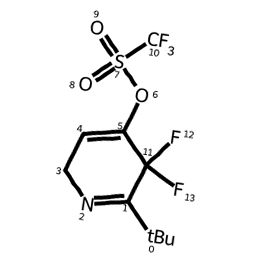 CC(C)(C)C1=NCC=C(OS(=O)(=O)C(F)(F)F)C1(F)F